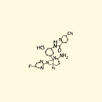 Cl.N#Cc1ccc(C(=O)Nc2cccc(C34CN(c5ncc(F)cn5)C[C@H]3CSC(N)=N4)c2)nc1